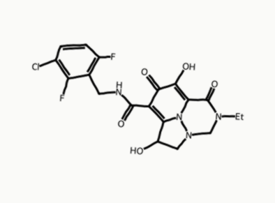 CCN1CN2CC(O)c3c(C(=O)NCc4c(F)ccc(Cl)c4F)c(=O)c(O)c(n32)C1=O